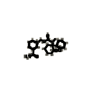 CN(C(=O)OC[n+]1cccc(C(N)=O)c1)C1(c2ccccc2Cl)CCCCC1=O